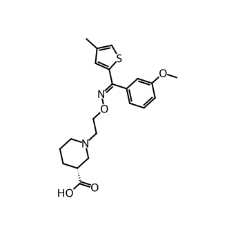 COc1cccc(/C(=N\OCCN2CCC[C@@H](C(=O)O)C2)c2cc(C)cs2)c1